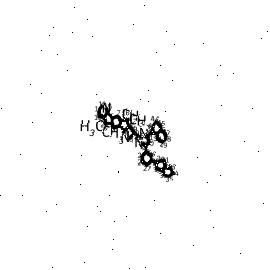 CC1(C)c2cc3c(cc2-c2ncccc21)C(C)(C)c1cc(-c2nc(-c4cccc(-c5ccc6ccccc6c5)c4)cc(-c4cccc5ccccc45)n2)cnc1-3